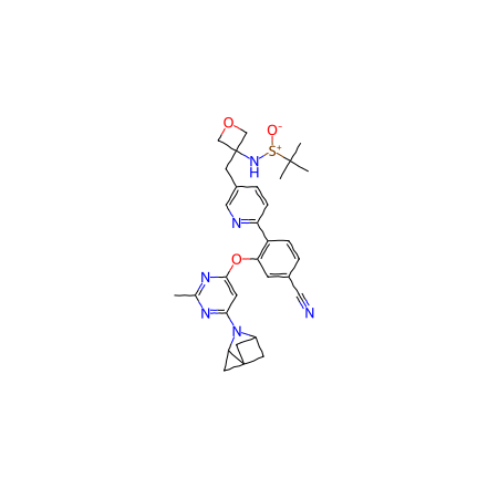 Cc1nc(Oc2cc(C#N)ccc2-c2ccc(CC3(N[S+]([O-])C(C)(C)C)COC3)cn2)cc(N2C3CC4(C3)CC24)n1